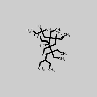 C=CC(C)(CC(C=CC)(CC)C(CC)(CN)CC(CC)CC)C(CC)(CC)CC(C)(O)CC